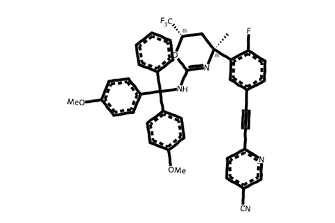 COc1ccc(C(NC2=N[C@](C)(c3cc(C#Cc4ccc(C#N)cn4)ccc3F)C[C@@H](C(F)(F)F)O2)(c2ccccc2)c2ccc(OC)cc2)cc1